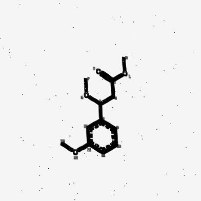 COC(=O)CC(OC)c1cccc(OC)c1